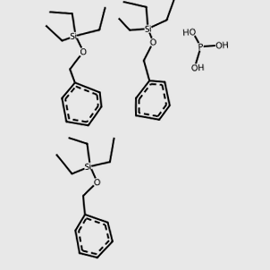 CC[Si](CC)(CC)OCc1ccccc1.CC[Si](CC)(CC)OCc1ccccc1.CC[Si](CC)(CC)OCc1ccccc1.OP(O)O